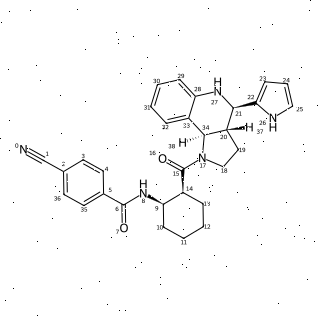 N#Cc1ccc(C(=O)N[C@@H]2CCCC[C@@H]2C(=O)N2CC[C@H]3[C@H](c4ccc[nH]4)Nc4ccccc4[C@@H]32)cc1